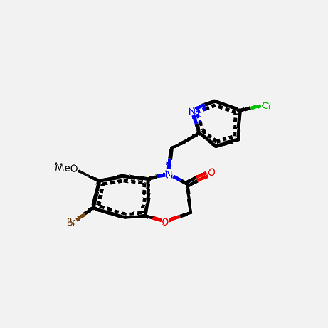 COc1cc2c(cc1Br)OCC(=O)N2Cc1ccc(Cl)cn1